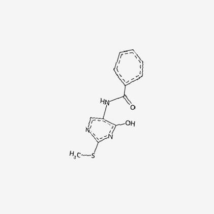 CSc1ncc(NC(=O)c2ccccc2)c(O)n1